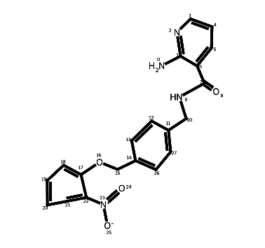 Nc1ncccc1C(=O)NCc1ccc(COc2ccccc2[N+](=O)[O-])cc1